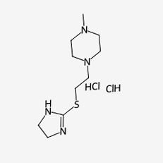 CN1CCN(CCSC2=NCCN2)CC1.Cl.Cl